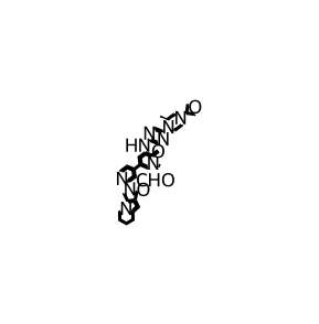 C[C@H]1CN(C2COC2)CCN1c1cnc(Nc2cc(-c3ccnc(N4Cc5c(cc6n5CCCC6)C4=O)c3C=O)cn(C)c2=O)cn1